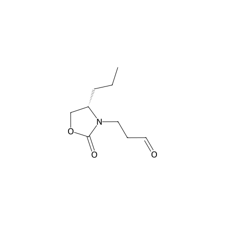 CCC[C@H]1COC(=O)N1CCC=O